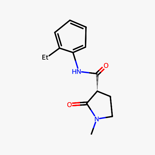 CCc1ccccc1NC(=O)[C@@H]1CCN(C)C1=O